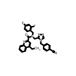 CCc1cc(C(=O)N(Cc2ccc(F)cc2F)Cc2nncn2Cc2ccc(C#N)cc2)nc2ccccc12